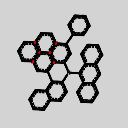 c1ccc(-c2cc(-c3ccccc3)cc(N(c3ccc4ccccc4c3-c3ccc4ccccc4c3)c3c4ccccc4cc4ccccc34)c2)cc1